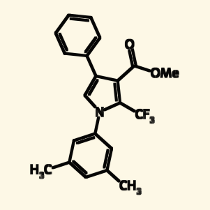 COC(=O)c1c(-c2ccccc2)cn(-c2cc(C)cc(C)c2)c1C(F)(F)F